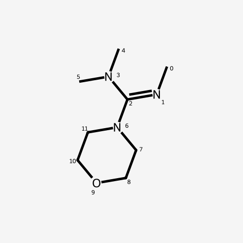 C/N=C(\N(C)C)N1CCOCC1